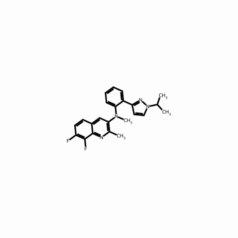 Cc1nc2c(F)c(F)ccc2cc1N(C)c1ccccc1-c1ccn(C(C)C)n1